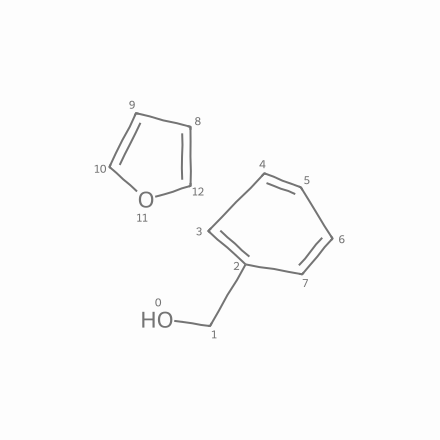 OCc1ccccc1.c1ccoc1